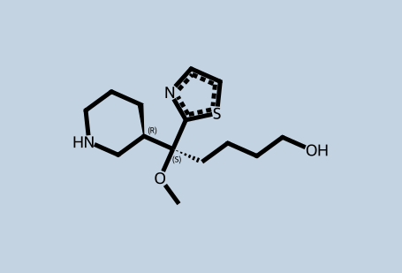 CO[C@](CCCCO)(c1nccs1)[C@@H]1CCCNC1